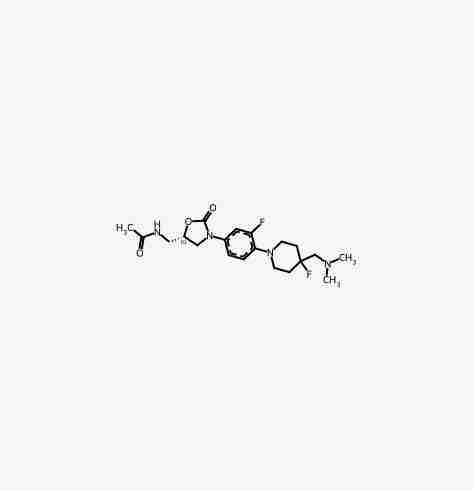 CC(=O)NC[C@H]1CN(c2ccc(N3CCC(F)(CN(C)C)CC3)c(F)c2)C(=O)O1